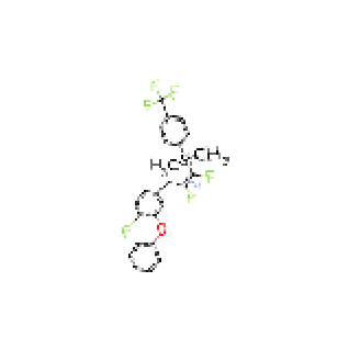 C[Si](C)(/C(F)=C(/F)Cc1ccc(F)c(Oc2ccccc2)c1)c1ccc(C(F)(F)F)cc1